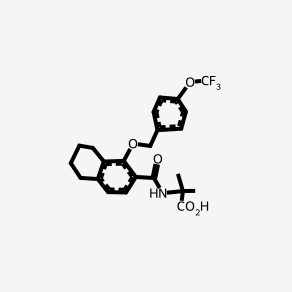 CC(C)(NC(=O)c1ccc2c(c1OCc1ccc(OC(F)(F)F)cc1)CCCC2)C(=O)O